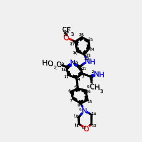 CC(=N)c1c(-c2ccc(N3CCOCC3)cc2)cc(C(=O)O)nc1Nc1cccc(OC(F)(F)F)c1